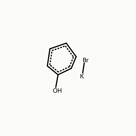 Oc1ccccc1.[K][Br]